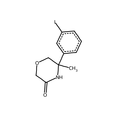 CC1(c2cccc(I)c2)COCC(=O)N1